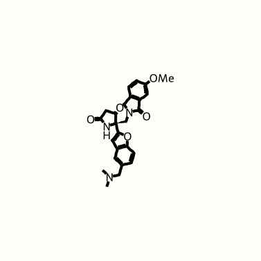 COc1ccc2c(c1)C(=O)N(C[C@@]1(c3cc4cc(CN(C)C)ccc4o3)NC(=O)CC1=O)C2